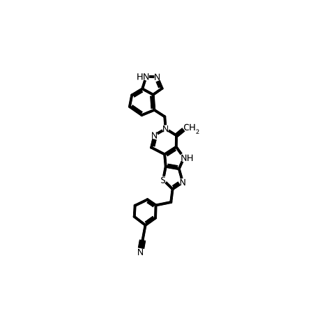 C=C1c2[nH]c3nc(CC4=CCCC(C#N)=C4)sc3c2C=NN1Cc1cccc2[nH]ncc12